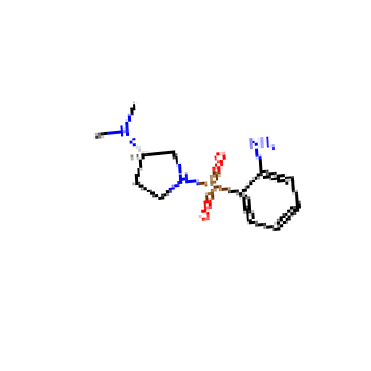 CN(C)[C@H]1CCN(S(=O)(=O)c2ccccc2N)C1